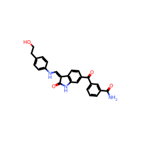 NC(=O)c1cccc(C(=O)c2ccc3c(c2)NC(=O)C3=CNc2ccc(CCO)cc2)c1